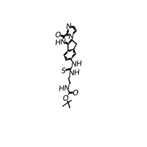 CC(C)(C)OC(=O)NCCNC(=S)Nc1ccc2c(c1)Cc1c-2[nH]c(=O)c2nccn12